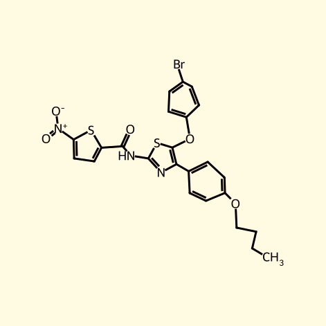 CCCCOc1ccc(-c2nc(NC(=O)c3ccc([N+](=O)[O-])s3)sc2Oc2ccc(Br)cc2)cc1